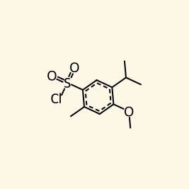 COc1cc(C)c(S(=O)(=O)Cl)cc1C(C)C